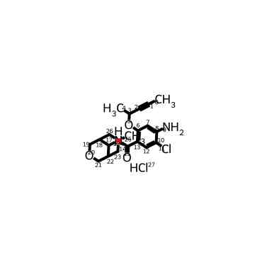 CC#CC(C)Oc1cc(N)c(Cl)cc1C(=O)NC1C2COCC1CN(C)C2.Cl